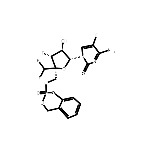 Nc1nc(=O)n([C@@H]2O[C@@](COP3(=O)OCc4ccccc4O3)(C(F)F)[C@H](F)[C@H]2O)cc1F